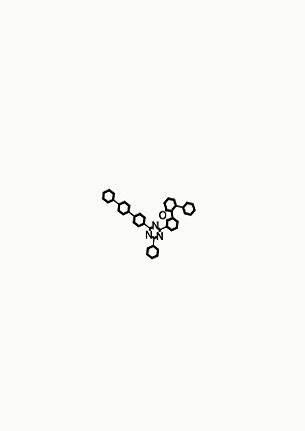 c1ccc(-c2ccc(-c3ccc(-c4nc(-c5ccccc5)nc(-c5cccc6c5oc5cccc(-c7ccccc7)c56)n4)cc3)cc2)cc1